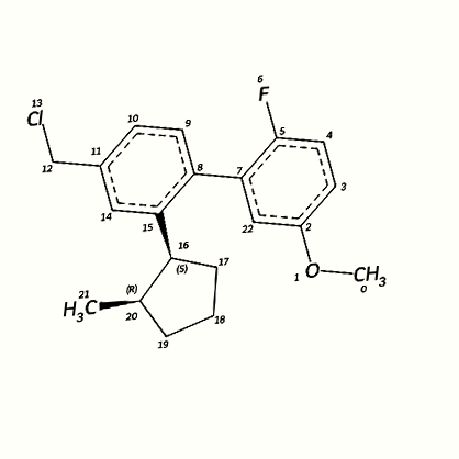 COc1ccc(F)c(-c2ccc(CCl)cc2[C@H]2CCC[C@H]2C)c1